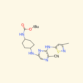 Cc1cc(Nc2nc(NC3CCC(NC(=O)OC(C)(C)C)CC3)cnc2C#N)sn1